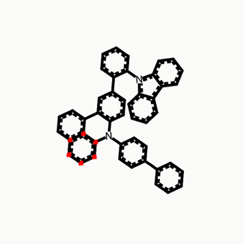 c1ccc(-c2ccc(N(c3ccccc3)c3ccc(-c4ccccc4-n4c5ccccc5c5ccccc54)cc3-c3cccc4ccccc34)cc2)cc1